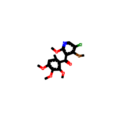 COc1cc(C)c(C(=O)c2c(OC)ncc(Cl)c2SC)c(OC)c1OC